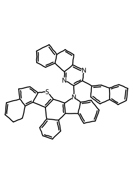 C1=Cc2ccc3sc4c(c5ccccc5c5c6ccccc6n(-c6nc7c(ccc8ccccc87)nc6-c6ccc7ccccc7c6)c45)c3c2CC1